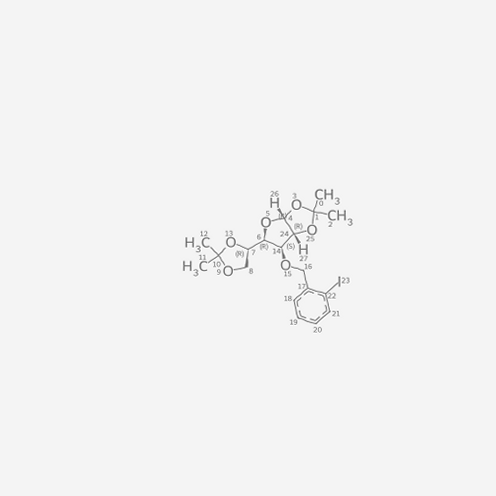 CC1(C)O[C@H]2O[C@H]([C@H]3COC(C)(C)O3)[C@H](OCc3ccccc3I)[C@H]2O1